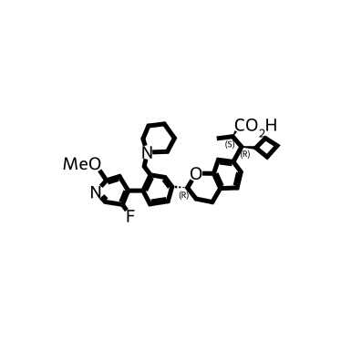 COc1cc(-c2ccc([C@H]3CCc4ccc([C@H](C5CCC5)[C@H](C)C(=O)O)cc4O3)cc2CN2CCCCC2)c(F)cn1